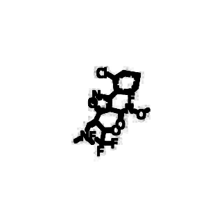 CON(C)C(=O)c1c(-c2c(F)cccc2Cl)noc1/C(=C/N(C)C)C(=O)C(F)(F)F